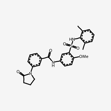 COc1ccc(NC(=O)c2cccc(N3CCCC3=O)c2)cc1S(=O)(=O)Nc1c(C)cccc1C